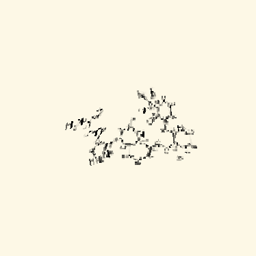 Cc1cc(-c2n[nH]cc2OCC(N)=O)c2cccc(OCc3c(C)ccnc3Cn3cccc(C(F)(F)F)c3=O)c2n1